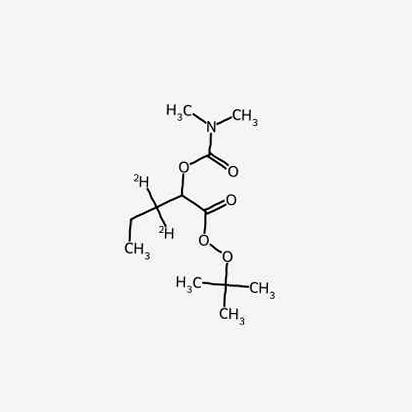 [2H]C([2H])(CC)C(OC(=O)N(C)C)C(=O)OOC(C)(C)C